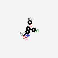 CC1(c2ccc3c(-c4ccc(Cl)cc4)c(OC4CCC(C(C)(C)C)CC4)ccc3c2)COC(=O)N1